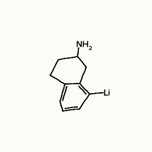 [Li][c]1cccc2c1CC(N)CC2